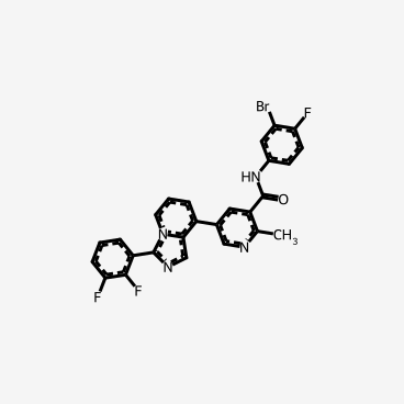 Cc1ncc(-c2cccn3c(-c4cccc(F)c4F)ncc23)cc1C(=O)Nc1ccc(F)c(Br)c1